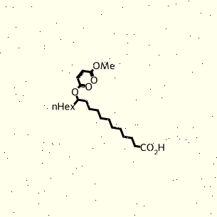 CCCCCCC(CCCCCCCCCCC(=O)O)OC(=O)/C=C\C(=O)OC